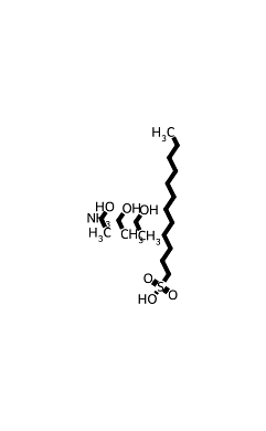 CCCCCCCCCCCCS(=O)(=O)O.CCO.CCO.CCO.N